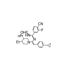 CCCC1CN(C(=C/c2ccc(C3CC3)cc2)/N=C(\NC=O)c2ccc(C#N)c(F)c2)CCC1CC